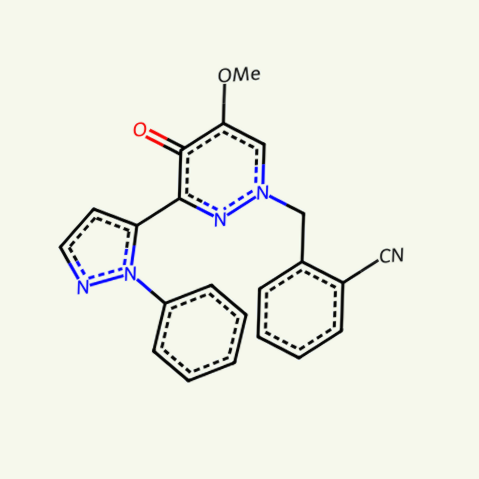 COc1cn(Cc2ccccc2C#N)nc(-c2ccnn2-c2ccccc2)c1=O